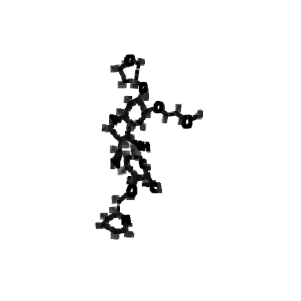 COCCOc1cc2c(Nc3ccc(OCc4ccccn4)c(Cl)c3)c(C#N)cnc2cc1OC1CCOC1